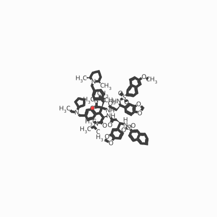 CCN(Cc1ccc(C([C@@H](NC(=O)C[C@@H](NS(=O)(=O)c2ccc3ccccc3c2)c2ccc3c(c2)OCO3)C(=O)N(C)C(C)C)[C@@](Cc2ccc(CN3[C@H](C)CCC[C@@H]3C)cc2)(NC(=O)C[C@@H](NS(=O)(=O)c2ccc3cc(OC)ccc3c2)c2ccc3c(c2)OCO3)C(=O)N(C)C(C)C)cc1)C1CCCC1